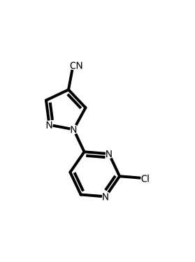 N#Cc1cnn(-c2ccnc(Cl)n2)c1